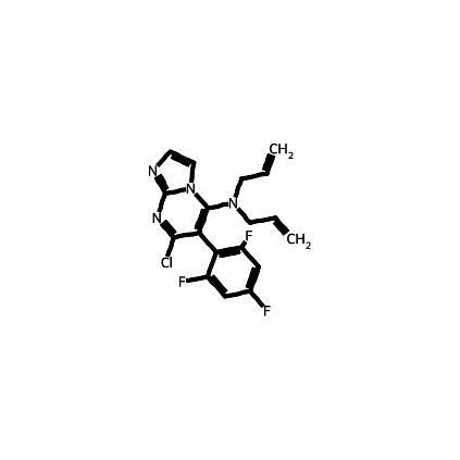 C=CCN(CC=C)c1c(-c2c(F)cc(F)cc2F)c(Cl)nc2nccn12